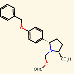 O=COCN1[C@H](C(=O)O)CC[C@H]1c1ccc(OCc2ccccc2)cc1